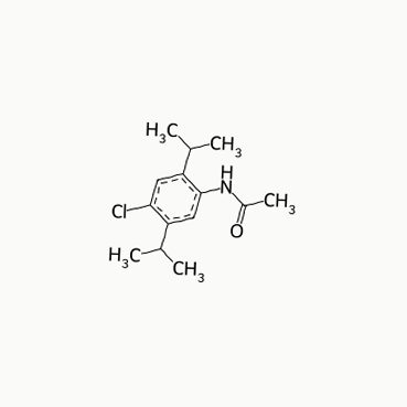 CC(=O)Nc1cc(C(C)C)c(Cl)cc1C(C)C